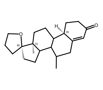 CC1CC2=CC(=O)CC[C@@H]2C2CC[C@@]3(C)C(CC[C@@]34CCCO4)C12